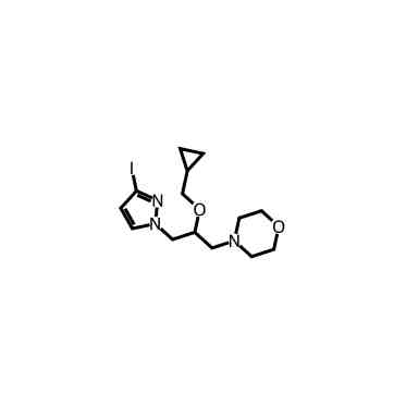 Ic1ccn(CC(CN2CCOCC2)OCC2CC2)n1